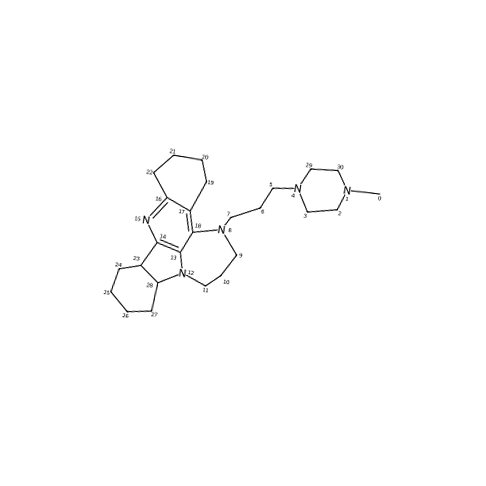 CN1CCN(CCCN2CCCN3c4c(nc5c(c42)CCCC5)C2CCCCC23)CC1